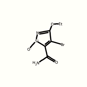 CCOc1n[s+]([O-])c(C(N)=O)c1Br